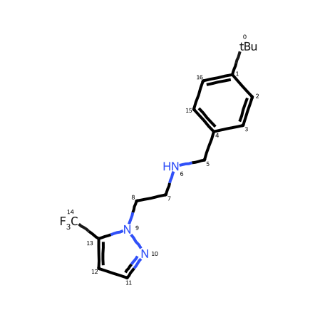 CC(C)(C)c1ccc(CNCCn2nccc2C(F)(F)F)cc1